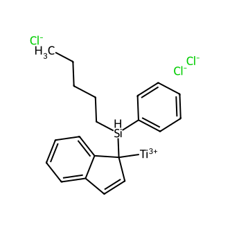 CCCCC[SiH](c1ccccc1)[C]1([Ti+3])C=Cc2ccccc21.[Cl-].[Cl-].[Cl-]